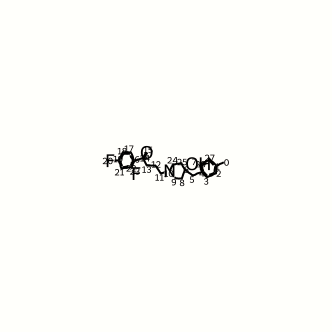 Cc1ccc(CC2(O)CCN(CCCC(=O)c3ccc(F)cc3F)CC2)cc1